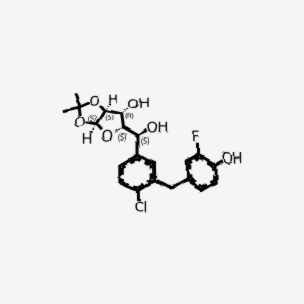 CC1(C)O[C@@H]2O[C@@H]([C@@H](O)c3ccc(Cl)c(Cc4ccc(O)c(F)c4)c3)[C@@H](O)[C@@H]2O1